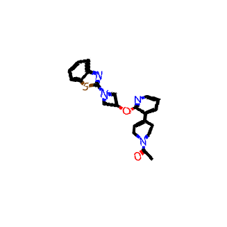 CC(=O)N1CC=C(c2cccnc2OC2CN(c3nc4ccccc4s3)C2)CC1